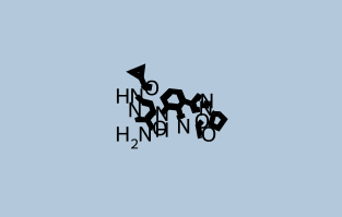 N#Cc1c(Nc2cc(NC(=O)C3CC3)ncc2C(N)=O)cccc1-c1cnn(C2CCCC23OCCO3)c1